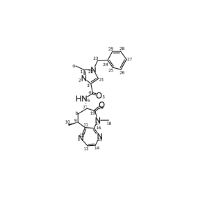 Cc1nc(C(=O)N[C@H]2C[C@H](C)c3nccnc3N(C)C2=O)cn1Cc1ccccc1